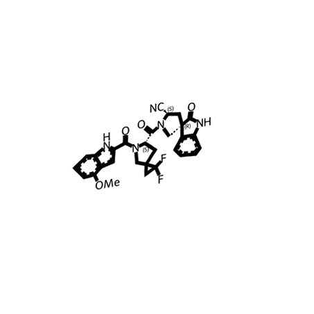 COc1cccc2[nH]c(C(=O)N3CC4(C[C@H]3C(=O)N3C[C@]5(C[C@H]3C#N)C(=O)Nc3ccccc35)CC4(F)F)cc12